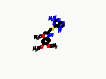 COCC(CSc1nc(N)nc2nc[nH]c12)Nc1ccc(OC)c(OC)c1